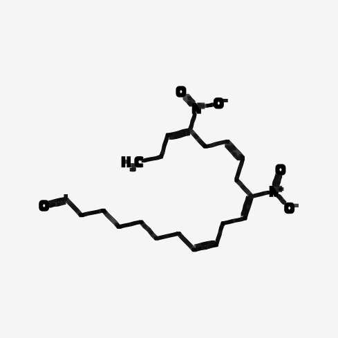 CC/C=C(\C/C=C\C/C(=C\C/C=C\CCCCCC[C]=O)[N+](=O)[O-])[N+](=O)[O-]